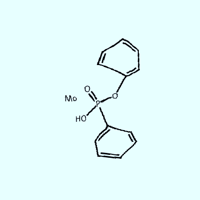 O=P(O)(Oc1ccccc1)c1ccccc1.[Mo]